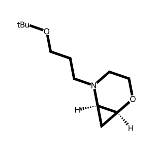 CC(C)(C)OCCCN1CCO[C@H]2C[C@H]21